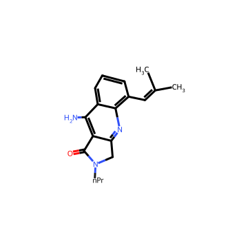 CCCN1Cc2nc3c(C=C(C)C)cccc3c(N)c2C1=O